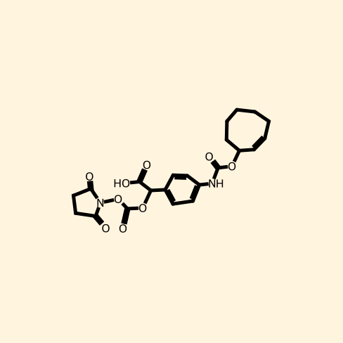 O=C(Nc1ccc(C(OC(=O)ON2C(=O)CCC2=O)C(=O)O)cc1)OC1C=CCCCCC1